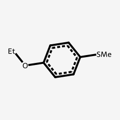 [CH2]Sc1ccc(OCC)cc1